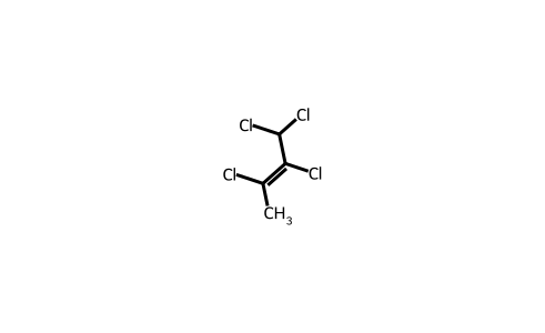 CC(Cl)=C(Cl)C(Cl)Cl